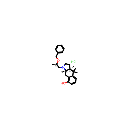 C[C@H](CN1CC[C@]2(C)[C@@H]1Cc1c(O)cccc1C2(C)C)OCc1ccccc1.Cl